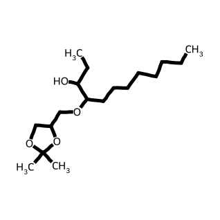 CCCCCCCCC(OCC1COC(C)(C)O1)C(O)CC